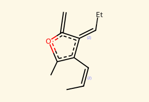 C=c1oc(C)c(/C=C\C)/c1=C/CC